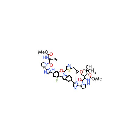 COC(=O)NC(C(=O)N1CCC[C@H]1c1ncc(-c2ccc3c(c2)cc2n3C(c3cnc(CC4CC4)s3)Oc3cc(-c4cnc([C@@H]5CCCN5C(=O)[C@@H](NC(=O)OC)C(C)C)[nH]4)cc(F)c3-2)[nH]1)C1COCC(C)(C)C1